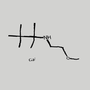 COCCNC(C)(C)C(C)(C)C.[Ga]